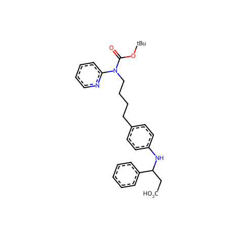 CC(C)(C)OC(=O)N(CCCCc1ccc(NC(CC(=O)O)c2ccccc2)cc1)c1ccccn1